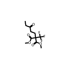 CCC(=O)CCC(C(=O)OC)(C(=O)OC)C(F)(F)F